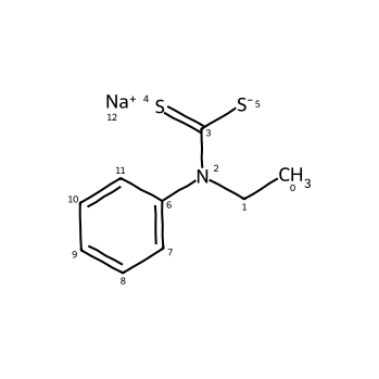 CCN(C(=S)[S-])c1ccccc1.[Na+]